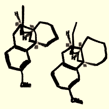 COc1ccc2c(c1)[C@]13CCCC[C@@H]1[C@H](C2)N(C)CC3.COc1ccc2c(c1)[C@]13CCCC[C@@H]1[C@H](C2)N(C)CC3